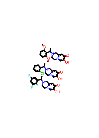 CC(c1cc(F)cc(F)c1F)N1CCn2cc(O)c(=O)cc2C1.CC(c1ccccc1Cl)N1CCn2cc(O)c(=O)cc2C1.COc1cccc(OC)c1C(C)N1CCn2cc(O)c(=O)cc2C1